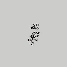 O=P(O)(O)CP(=O)(O)CC[C@H]1O[C@@H](n2cnc3c(NC4C5CC6CC(C5)CC4C6)nc(Cl)nc32)C(O)C1O